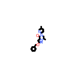 Cc1ccc(N2CC(C)n3nc(OCc4ccccc4)cc3C2=O)nc1